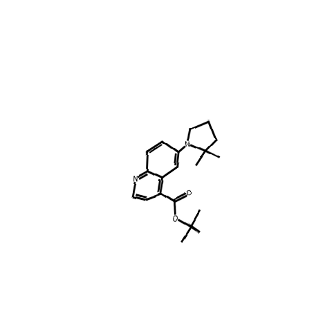 CC(C)(C)OC(=O)c1ccnc2ccc(N3CCCC3(C)C)cc12